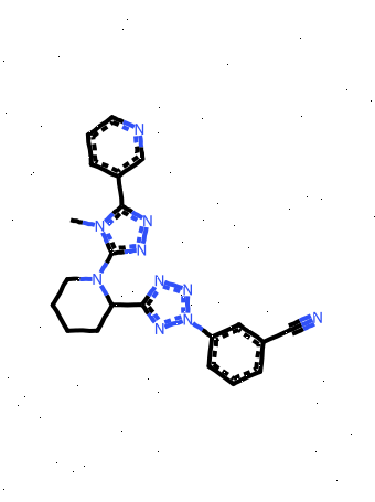 Cn1c(-c2cccnc2)nnc1N1CCCCC1c1nnn(-c2cccc(C#N)c2)n1